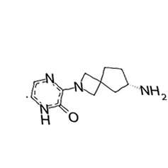 N[C@H]1CCC2(C1)CN(c1nc[c][nH]c1=O)C2